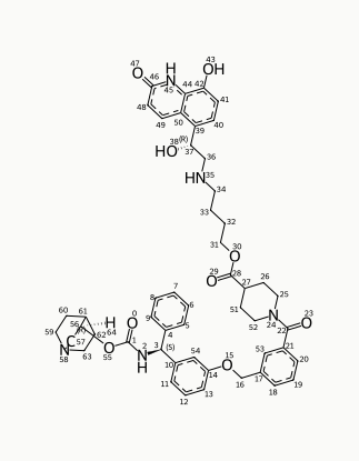 O=C(N[C@@H](c1ccccc1)c1cccc(OCc2cccc(C(=O)N3CCC(C(=O)OCCCCNC[C@H](O)c4ccc(O)c5[nH]c(=O)ccc45)CC3)c2)c1)O[C@H]1CN2CCC1CC2